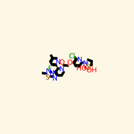 Cc1cnc([C@@H]2c3c(nc4sc(C)nn34)CCN2C(=O)COc2ccc(N3CCCS3(O)O)nc2Cl)c(F)c1